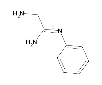 NC/C(N)=N/c1ccccc1